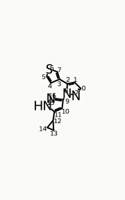 c1cc(-c2ccsc2)n(-c2cc(C3CC3)[nH]n2)n1